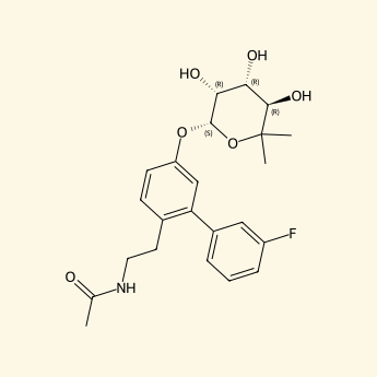 CC(=O)NCCc1ccc(O[C@H]2OC(C)(C)[C@H](O)[C@@H](O)[C@H]2O)cc1-c1cccc(F)c1